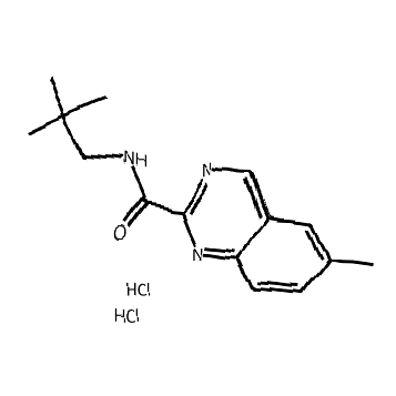 Cc1ccc2nc(C(=O)NCC(C)(C)C)ncc2c1.Cl.Cl